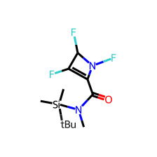 CN(C(=O)C1=C(F)C(F)N1F)[Si](C)(C)C(C)(C)C